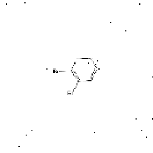 BrC1=C(Br)C[CH][C]=C1